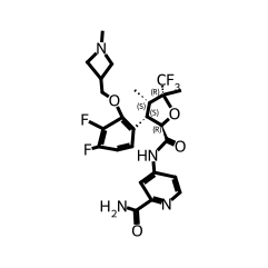 C[C@H]1[C@@H](c2ccc(F)c(F)c2OCC2CN(C)C2)[C@H](C(=O)Nc2ccnc(C(N)=O)c2)O[C@@]1(C)C(F)(F)F